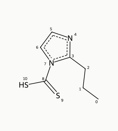 CCCc1nccn1C(=S)S